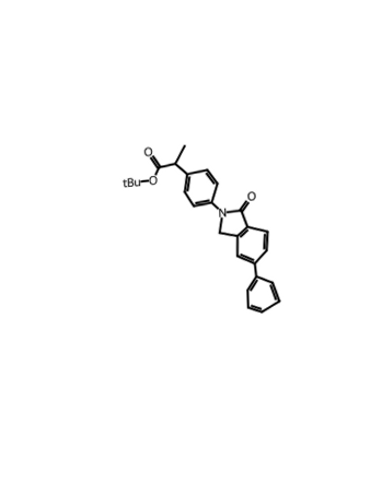 CC(C(=O)OC(C)(C)C)c1ccc(N2Cc3cc(-c4ccccc4)ccc3C2=O)cc1